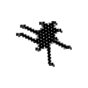 CCCCCCCCCCOc1ccc(-c2c(-c3ccc(C)cc3)c(-c3ccc(OCCCCCCCCCC)cc3)c(-c3ccc(OCCCCCCCCCC)cc3)c(-c3ccc(-c4c(-c5ccc(C)cc5)c(-c5ccc(C)cc5)c(-c5ccc(C)cc5)c(-c5ccc(C)cc5)c4-c4ccc(C)cc4)cc3)c2-c2ccc(OCCCCCCCCCC)cc2)cc1